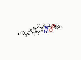 CC(C)(C)OC(=O)CNC[C@H]1CC[C@H](CCC(=O)O)CC1